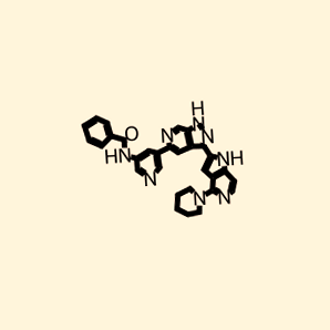 O=C(Nc1cncc(-c2cc3c(-c4cc5c(N6CCCCC6)nccc5[nH]4)n[nH]c3cn2)c1)c1ccccc1